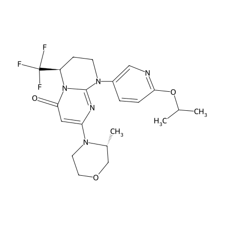 CC(C)Oc1ccc(N2CC[C@H](C(F)(F)F)n3c2nc(N2CCOC[C@H]2C)cc3=O)cn1